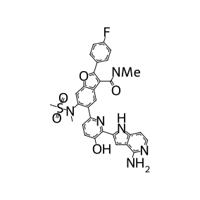 CNC(=O)c1c(-c2ccc(F)cc2)oc2cc(N(C)S(C)(=O)=O)c(-c3ccc(O)c(-c4cc5c(N)nccc5[nH]4)n3)cc12